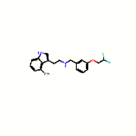 COc1cccc2[nH]cc(CCNCc3cccc(OCC(F)F)c3)c12